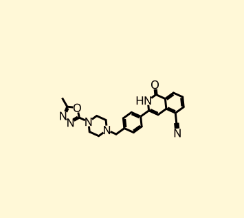 Cc1nnc(N2CCN(Cc3ccc(-c4cc5c(C#N)cccc5c(=O)[nH]4)cc3)CC2)o1